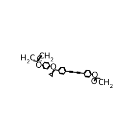 C=C=C(C=C)Oc1ccc(OC(=C2CC2)c2ccc(C#CC#Cc3ccc(OC(=O)C=C)cc3)cc2)cc1